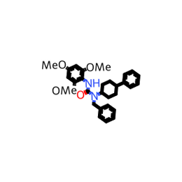 COc1cc(OC)c(NC(=O)N(Cc2ccccc2)C2CCC(c3ccccc3)CC2)c(OC)c1